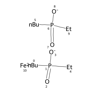 CCCCP(=O)([O-])CC.CCCCP(=O)([O-])CC.[Fe+2]